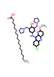 CCCCCCCCCCCCCCCCCC(=O)O.COc1ccc2nc3cc(Cl)ccc3c(Nc3cc(CN4CCCC4)c(O)c(CN4CCCC4)c3)c2n1